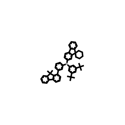 CC(C)(C)c1cc(N(c2cccc(-c3cccc4c3C(C)(C)c3ccccc3-4)c2)c2ccc3c(c2)C2(CCCCC2)c2ccccc2-3)cc(C(C)(C)C)c1